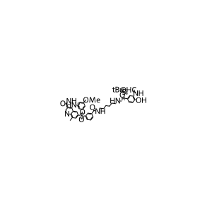 COc1cccc(Nc2c(C(N)=O)cnc3c(C)cc(S(=O)(=O)c4cccc(C(=O)NCCCCCCNC[C@H](O[Si](C)(C)C(C)(C)C)c5ccc(O)c(NC=O)c5)c4)cc23)c1